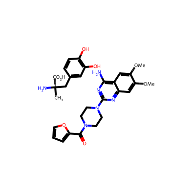 COc1cc2nc(N3CCN(C(=O)c4ccco4)CC3)nc(N)c2cc1OC.C[C@](N)(Cc1ccc(O)c(O)c1)C(=O)O